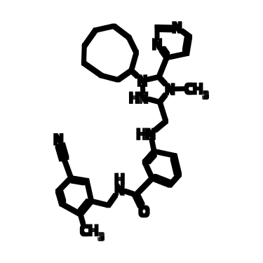 Cc1ccc(C#N)cc1CNC(=O)c1cccc(NCC2NN(C3CCCCCCCC3)C(c3ccncn3)N2C)c1